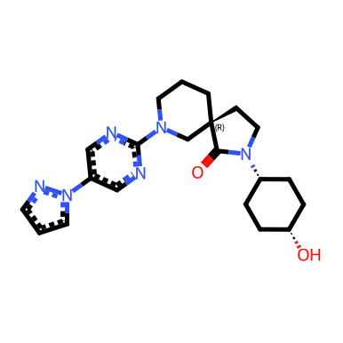 O=C1N([C@H]2CC[C@@H](O)CC2)CC[C@@]12CCCN(c1ncc(-n3cccn3)cn1)C2